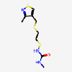 CNC(=O)NSCCSCc1csnc1C